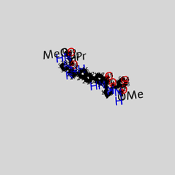 COC(=O)NC(C(=O)N1CCCC1c1cc(=O)c2ccc(-c3ccc4cc(-c5cnc([C@@H]6CCCN6C(=O)[C@@H](NC(=O)OC)C(C)C)[nH]5)ccc4c3)cc2[nH]1)C1CCOCC1